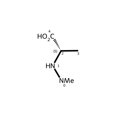 CNN[C@@H](C)C(=O)O